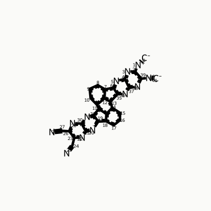 [C-]#[N+]c1nc2nc3c4cccc5c4c(c4cccc6c7nc8nc(C#N)c(C#N)nc8nc7c5c64)c3nc2nc1[N+]#[C-]